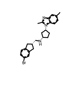 Cc1ccc2c(c1)nc(C)n2[C@@H]1CC[C@H](NC[C@H]2Cc3ccc(Br)cc3C2)C1